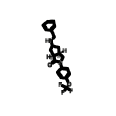 O=C1[C@H]2CC(NCc3ccccc3)C[C@H]2CN1c1ccc(OC(F)(F)F)cc1